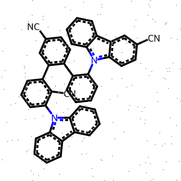 N#Cc1ccc(-c2ccccc2-n2c3ccccc3c3cc(C#N)ccc32)c(-c2cccc(-n3c4ccccc4c4ccccc43)c2C#N)c1